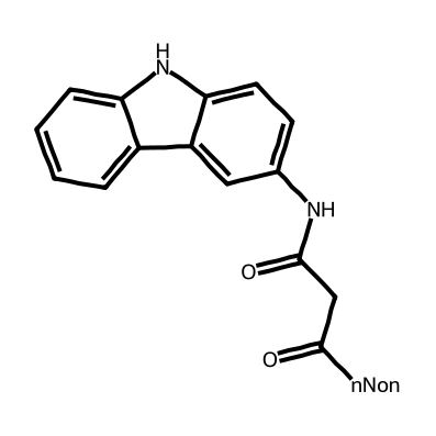 CCCCCCCCCC(=O)CC(=O)Nc1ccc2[nH]c3ccccc3c2c1